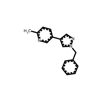 Cc1ccc(-c2cnn(Cc3ccccc3)c2)[c]n1